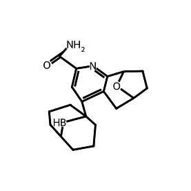 NC(=O)c1cc(C23BC(CCC2)CCC3)c2c(n1)C1CCC(C2)O1